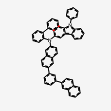 c1ccc(-c2ccccc2N(c2ccc3cc(-c4cccc(-c5ccc6ccccc6c5)c4)ccc3c2)c2ccc3c(c2)c2ccccc2n3-c2ccccc2)cc1